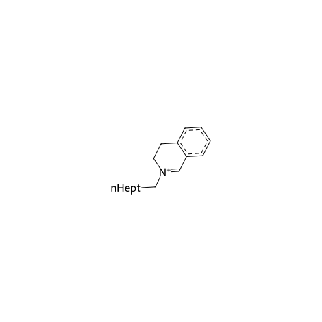 CCCCCCCC[N+]1=Cc2ccccc2CC1